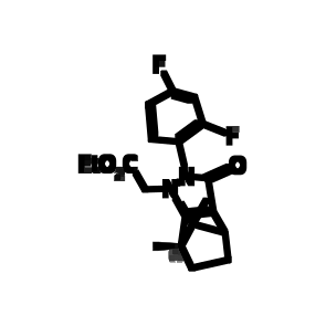 CCOC(=O)Cn1c2c(c(=O)n1-c1ccc(F)cc1F)C1CC[C@@]2(C)C1(C)C